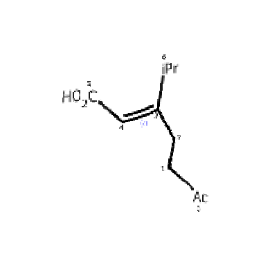 CC(=O)CC/C(=C/C(=O)O)C(C)C